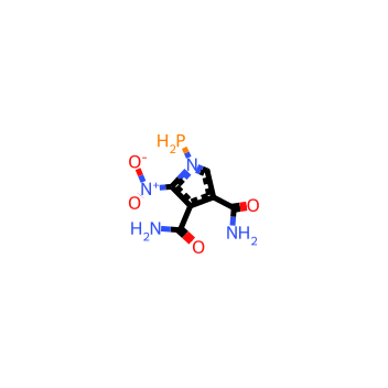 NC(=O)c1cn(P)c([N+](=O)[O-])c1C(N)=O